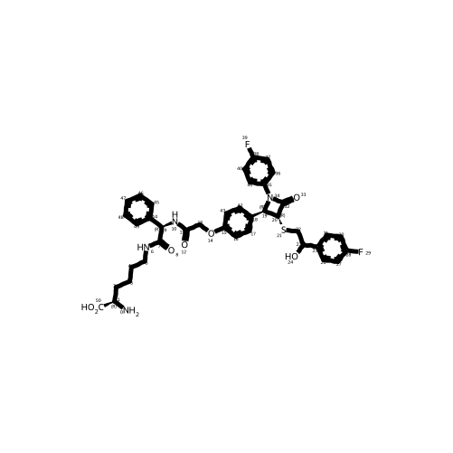 N[C@H](CCCCNC(=O)[C@H](NC(=O)COc1ccc([C@@H]2[C@@H](SCC(O)c3ccc(F)cc3)C(=O)N2c2ccc(F)cc2)cc1)c1ccccc1)C(=O)O